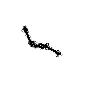 C=CC(=O)OCCCCCCCCOC(=O)c1ccc2cc(-c3ccc(-c4ccc(OCCCCCCCCOC(=O)C=C)cc4C)s3)ccc2c1